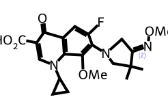 CO/N=C1\CN(c2c(F)cc3c(=O)c(C(=O)O)cn(C4CC4)c3c2OC)CC1(C)C